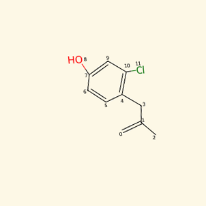 C=C(C)Cc1ccc(O)cc1Cl